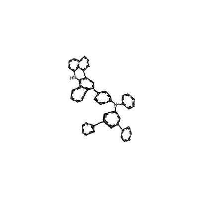 c1ccc(-c2cc(-c3ccccc3)cc(N(c3ccccc3)c3ccc(-c4cc5c(c6ccccc46)Nc4cccc6cccc-5c46)cc3)c2)cc1